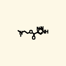 CN(C)CCOC(=O)c1c[nH]nn1